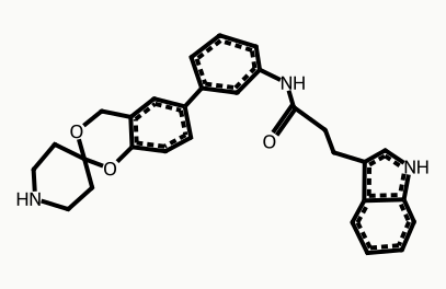 O=C(CCc1c[nH]c2ccccc12)Nc1cccc(-c2ccc3c(c2)COC2(CCNCC2)O3)c1